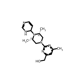 Cc1cc(CO)nc(N2C[C@@H](C)N(C3C=CN=[C]N3)[C@@H](C)C2)n1